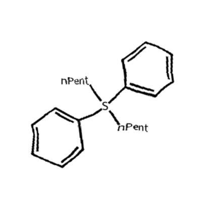 CCCCCS(CCCCC)(c1ccccc1)c1ccccc1